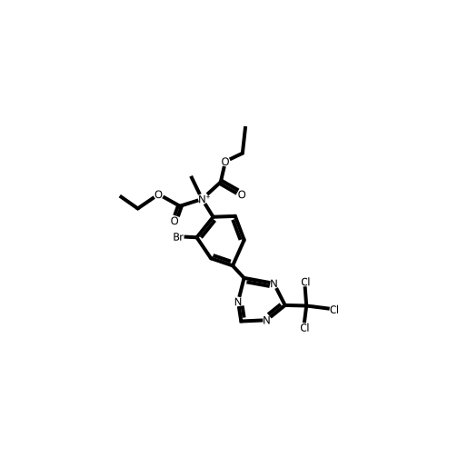 CCOC(=O)[N+](C)(C(=O)OCC)c1ccc(-c2ncnc(C(Cl)(Cl)Cl)n2)cc1Br